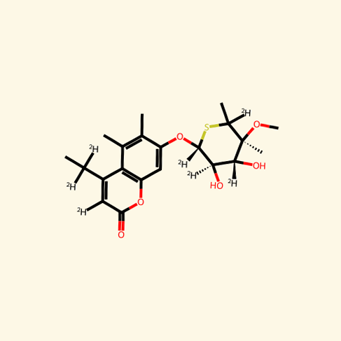 [2H]c1c(C([2H])([2H])C)c2c(C)c(C)c(O[C@]3([2H])SC([2H])(C)[C@@](C)(OC)[C@]([2H])(O)[C@@]3([2H])O)cc2oc1=O